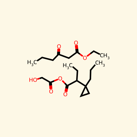 CCCC(=O)CC(=O)OCC.CCCC1(C(CC)C(=O)OC(=O)CO)CC1